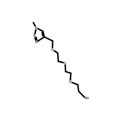 CCC(C)CCOCCOCCOCc1cn(C)nn1